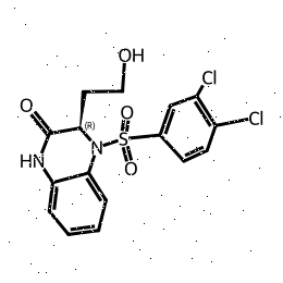 O=C1Nc2ccccc2N(S(=O)(=O)c2ccc(Cl)c(Cl)c2)[C@@H]1CCO